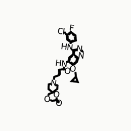 O=C(/C=C/CN1CCC2(CC1)COCC(=O)O2)Nc1cc2c(Nc3ccc(F)c(Cl)c3)ncnc2cc1OCC1CC1